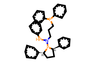 c1ccc(PN(CCCP(c2ccccc2)c2ccccc2)P2[C@@H](c3ccccc3)CC[C@@H]2c2ccccc2)cc1